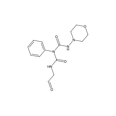 O=[C]CNC(=O)N(C(=O)NN1CCOCC1)c1ccccc1